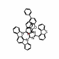 c1ccc(-c2ccc3oc4ccc(-n5c6ccccc6c6ccc7c8ccccc8n(-c8nc(-c9ccccc9)nc(-c9cccc%10sc%11ccccc%11c9%10)n8)c7c65)cc4c3c2)cc1